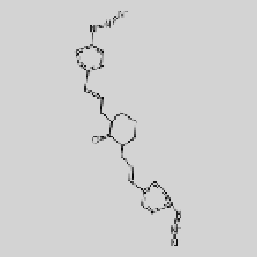 [N-]=[N+]=Nc1ccc(C=CCC2CCCC(CC=Cc3ccc(N=[N+]=[N-])cc3)C2=O)cc1